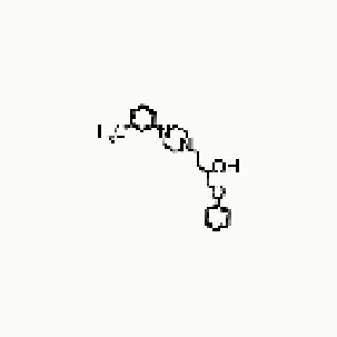 OC(CCN1CCN(c2cccc(C(F)(F)F)c2)CC1)COc1ccccc1